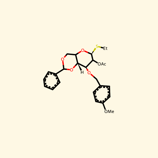 CCS[C@@H]1OC2COC(c3ccccc3)O[C@H]2[C@H](OCc2ccc(OC)cc2)C1OC(C)=O